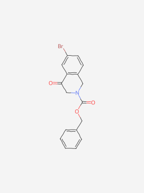 O=C1CN(C(=O)OCc2ccccc2)Cc2ccc(Br)cc21